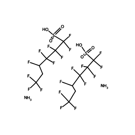 N.N.O=S(=O)(O)C(F)(F)C(F)(F)C(F)(F)C(F)CC(F)(F)F.O=S(=O)(O)C(F)(F)C(F)(F)C(F)(F)C(F)CC(F)(F)F